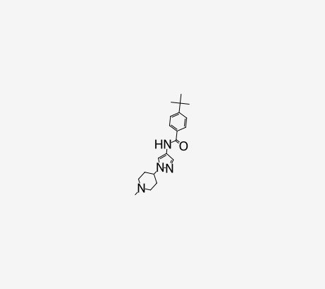 CN1CCC(n2cc(NC(=O)c3ccc(C(C)(C)C)cc3)cn2)CC1